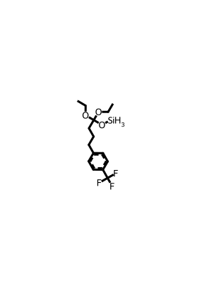 CCOC(CCCc1ccc(C(F)(F)F)cc1)(O[SiH3])OCC